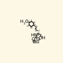 Cc1ccc(CSC[C@H](CO)NC(=O)OC(C)(C)C)cc1